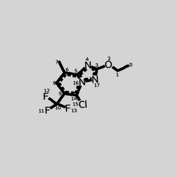 CCOc1nc2c(C)cc(C(F)(F)F)c(Cl)n2n1